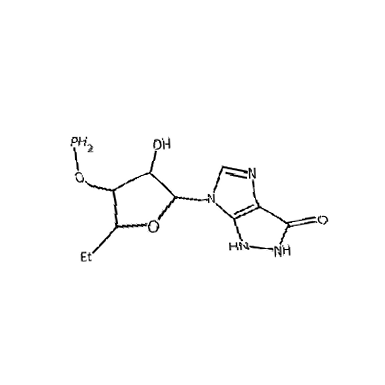 CCC1OC(n2cnc3c(=O)[nH][nH]c32)C(O)C1OP